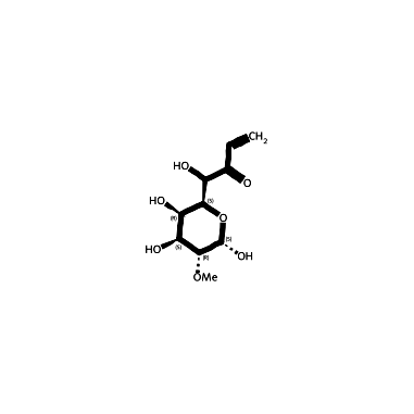 C=CC(=O)C(O)[C@H]1O[C@H](O)[C@H](OC)[C@@H](O)[C@H]1O